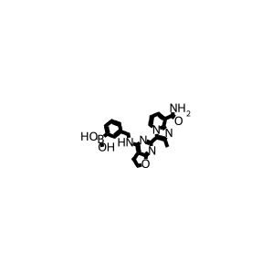 Cc1nc2c(C(N)=O)cccn2c1-c1nc(NCc2cccc(B(O)O)c2)c2c(n1)OCC2